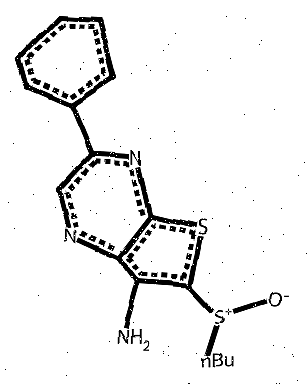 CCCC[S+]([O-])c1sc2nc(-c3ccccc3)cnc2c1N